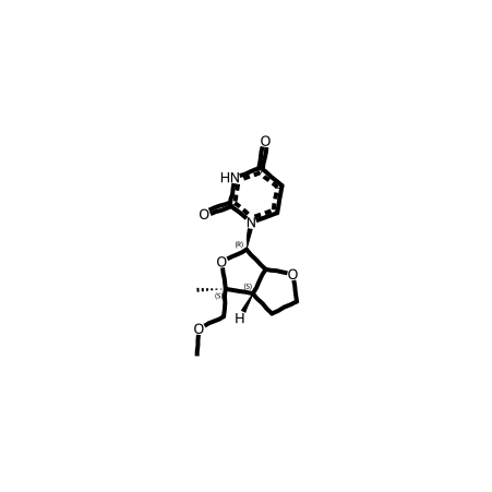 COC[C@@]1(C)O[C@@H](n2ccc(=O)[nH]c2=O)C2OCC[C@@H]21